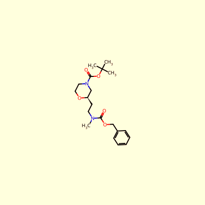 CN(CC[C@@H]1CN(C(=O)OC(C)(C)C)CCO1)C(=O)OCc1ccccc1